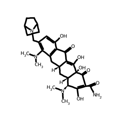 CN(C)c1c(CN2C3CCC2CC3)cc(O)c2c1C[C@H]1C[C@H]3[C@H](N(C)C)C(O)=C(C(N)=O)C(=O)[C@@]3(O)C(O)=C1C2=O